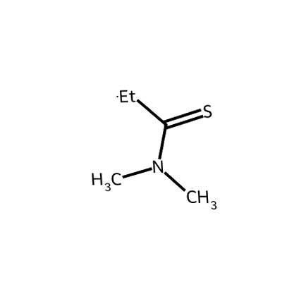 C[CH]C(=S)N(C)C